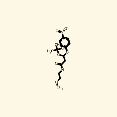 COCC[N]C(=O)CC(Oc1ccc([N+](=O)[O-])cc1)OC(C)(C)C